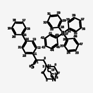 S=C(C[N+]12CCN(CC1)CC2)c1ccc(-c2ccccc2)cc1.c1ccc([B-](c2ccccc2)(c2ccccc2)c2ccccc2)cc1